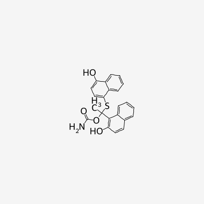 CC(OC(N)=O)(Sc1ccc(O)c2ccccc12)c1c(O)ccc2ccccc12